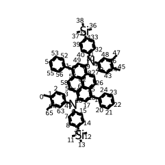 Cc1ccc(N(c2ccc([Si](C)(C)C)cc2)c2cc(-c3ccccc3)c3ccc4c(N(c5ccc([Si](C)(C)C)cc5)c5ccc(C)c(C)c5)cc(-c5ccccc5)c5ccc2c3c54)cc1C